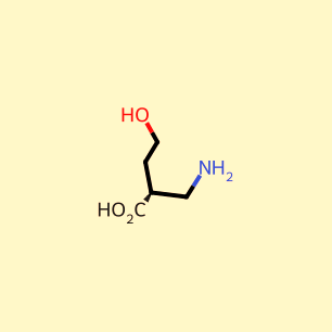 NC[C@H](CCO)C(=O)O